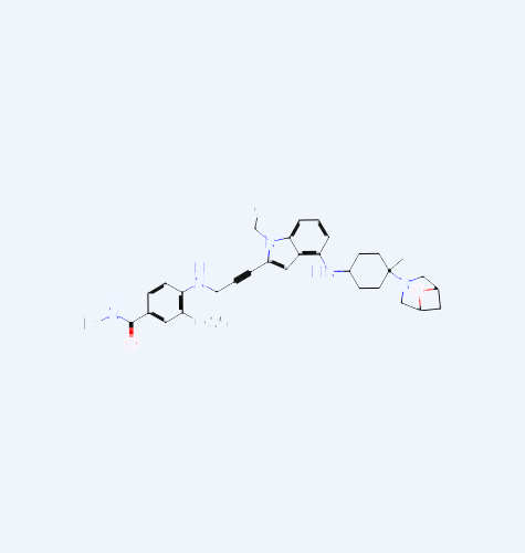 CCNC(=O)c1ccc(NCC#Cc2cc3c(NC4CCC(C)(N5CC6CC(C5)O6)CC4)cccc3n2CC(F)(F)F)c(OC)c1